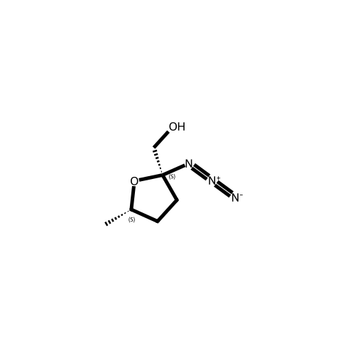 C[C@H]1CC[C@](CO)(N=[N+]=[N-])O1